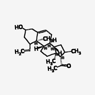 C=CC1CC(O)CC2=CC[C@H]3[C@@H]4CC(C)[C@H](C(C)=O)[C@@]4(C)CC[C@@H]3[C@]21C